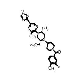 CC[C@H]1CN(c2ncc(-c3nc[nH]n3)nc2C)[C@H](C)CN1C1CCN(C(=O)c2ccc(C)c(F)c2)CC1